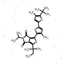 CCC(C)(C)c1sc(-c2sc(-c3cc(C)c(C(C)(C)C)s3)cc2C)c2c1C(=O)N(C(C)C)C2=O